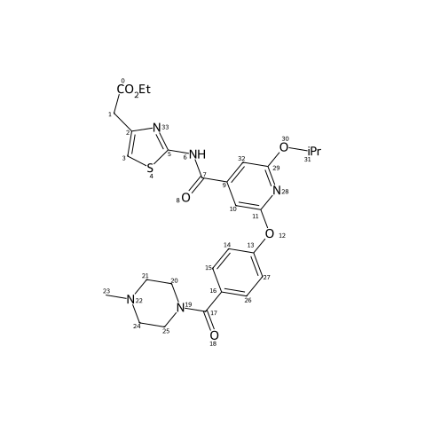 CCOC(=O)Cc1csc(NC(=O)c2cc(Oc3ccc(C(=O)N4CCN(C)CC4)cc3)nc(OC(C)C)c2)n1